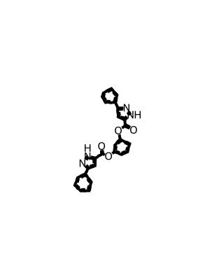 O=C(Oc1cccc(OC(=O)c2cc(-c3ccccc3)n[nH]2)c1)c1cc(-c2ccccc2)n[nH]1